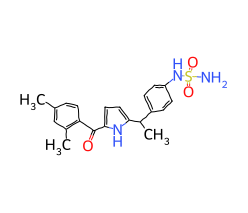 Cc1ccc(C(=O)c2ccc(C(C)c3ccc(NS(N)(=O)=O)cc3)[nH]2)c(C)c1